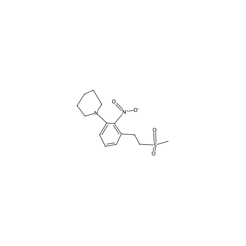 CS(=O)(=O)CCc1cccc(N2CCCCC2)c1[N+](=O)[O-]